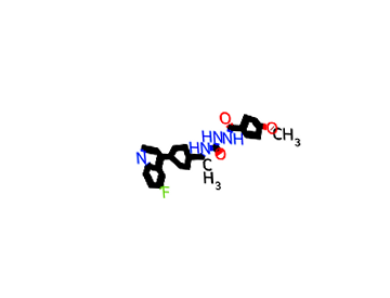 COc1ccc(C(=O)NNC(=O)N[C@H](C)C2CCC(c3ccnc4ccc(F)cc34)CC2)cc1